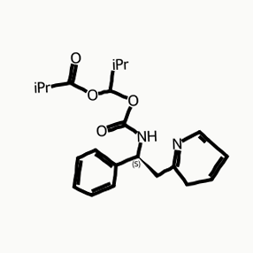 CC(C)C(=O)OC(OC(=O)N[C@@H](CC1=NC=CC=CC1)c1ccccc1)C(C)C